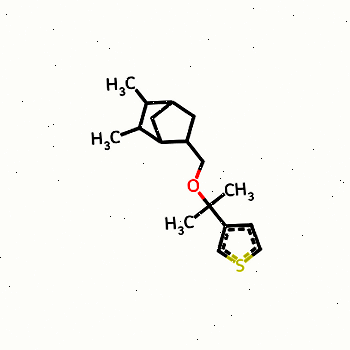 CC1C2CC(COC(C)(C)c3ccsc3)C(C2)C1C